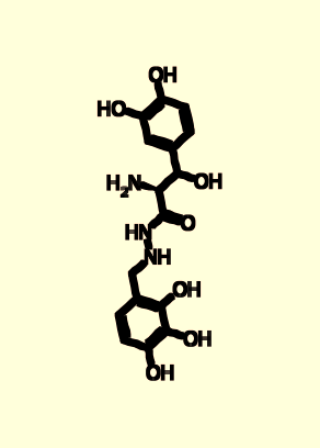 N[C@H](C(=O)NNCc1ccc(O)c(O)c1O)C(O)c1ccc(O)c(O)c1